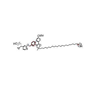 COc1ccc(C(=O)N(CC(C)(C)CCCCCCCCCCCCCCCCCCCCCC[N+]23CCN(CC2)CC3)c2cccc(C)n2)c(N2CCC(COc3cc([C@@H](CC(=O)O)C4CC4)ccn3)CC2)c1